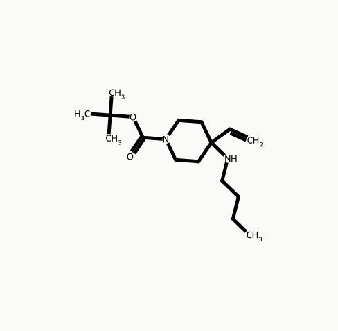 C=CC1(NCCCC)CCN(C(=O)OC(C)(C)C)CC1